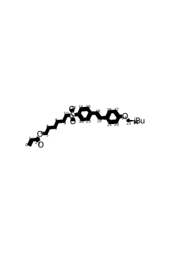 C=CC(=O)OCCCCCCS(=O)(=O)c1ccc(C=Cc2ccc(OC[C@H](C)CC)cc2)cc1